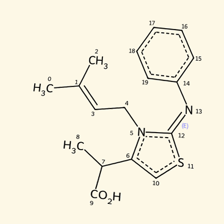 CC(C)=CCn1c(C(C)C(=O)O)cs/c1=N/c1ccccc1